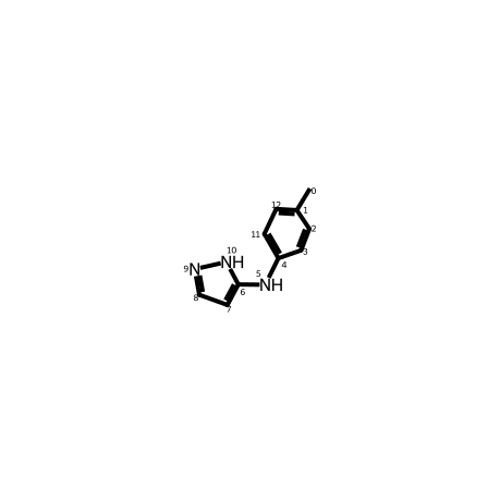 Cc1ccc(Nc2ccn[nH]2)cc1